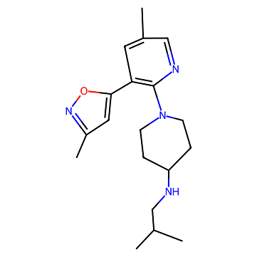 Cc1cnc(N2CCC(NCC(C)C)CC2)c(-c2cc(C)no2)c1